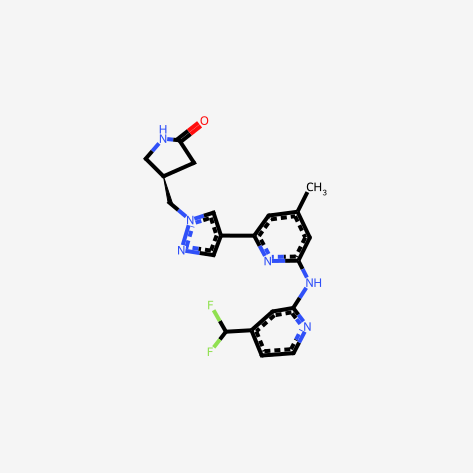 Cc1cc(Nc2cc(C(F)F)ccn2)nc(-c2cnn(C[C@H]3CNC(=O)C3)c2)c1